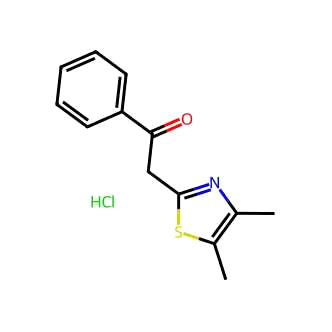 Cc1nc(CC(=O)c2ccccc2)sc1C.Cl